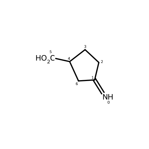 N=C1CCC(C(=O)O)C1